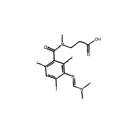 CN(C)C=Nc1c(I)cc(I)c(C(=O)N(C)CCC(=O)O)c1I